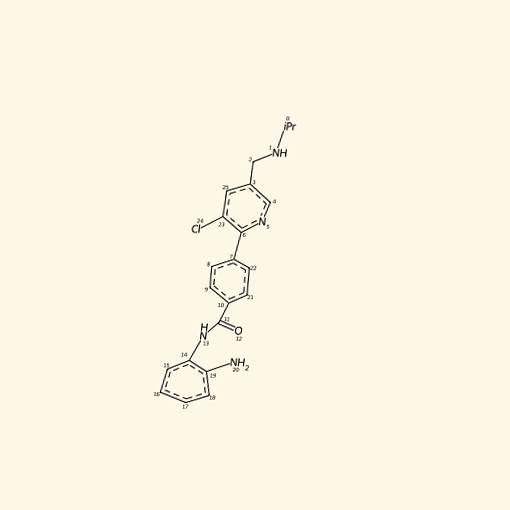 CC(C)NCc1cnc(-c2ccc(C(=O)Nc3ccccc3N)cc2)c(Cl)c1